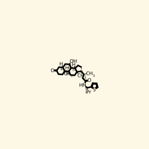 CC(C)[C@H](NC(=O)C[C@@H](C)[C@H]1CC[C@H]2[C@@H]3[C@H](O)C[C@@H]4CC(=O)CC[C@]4(C)[C@H]3CC[C@]12C)c1cccs1